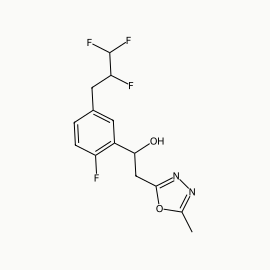 Cc1nnc(CC(O)c2cc(CC(F)C(F)F)ccc2F)o1